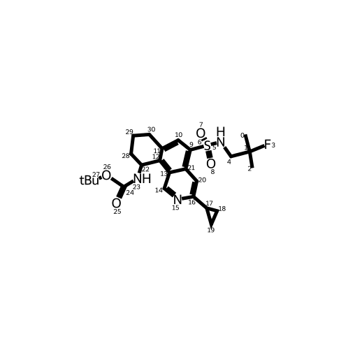 CC(C)(F)CNS(=O)(=O)c1cc2c(c3cnc(C4CC4)cc13)C(NC(=O)OC(C)(C)C)CCC2